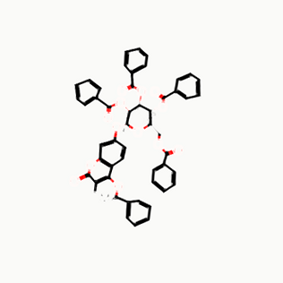 COc1c(OCc2ccccc2)c2ccc(O[C@H]3O[C@H](COC(=O)c4ccccc4)[C@@H](OC(=O)c4ccccc4)[C@H](OC(=O)c4ccccc4)[C@@H]3OC(=O)c3ccccc3)cc2oc1=O